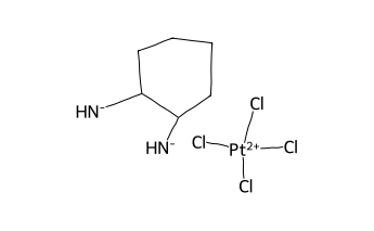 [Cl][Pt+2]([Cl])([Cl])[Cl].[NH-]C1CCCCC1[NH-]